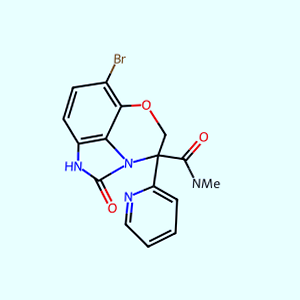 CNC(=O)C1(c2ccccn2)COc2c(Br)ccc3[nH]c(=O)n1c23